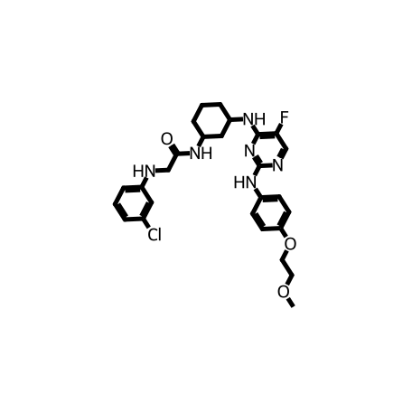 COCCOc1ccc(Nc2ncc(F)c(NC3CCCC(NC(=O)CNc4cccc(Cl)c4)C3)n2)cc1